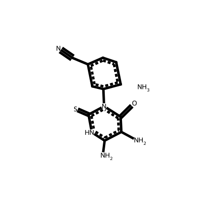 N.N#Cc1cccc(-n2c(=S)[nH]c(N)c(N)c2=O)c1